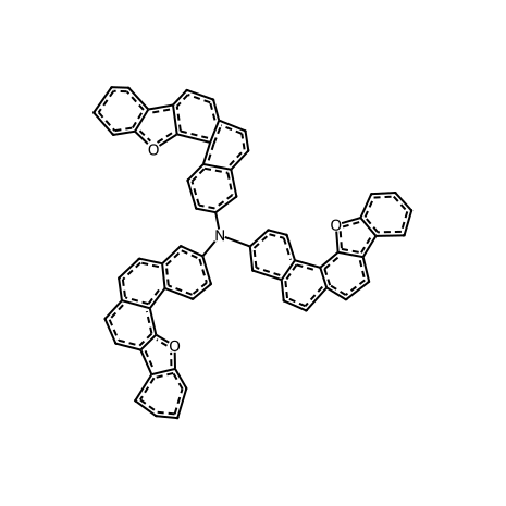 c1ccc2c(c1)oc1c2ccc2ccc3cc(N(c4ccc5c(ccc6ccc7c8ccccc8oc7c65)c4)c4ccc5c(ccc6ccc7c8ccccc8oc7c65)c4)ccc3c21